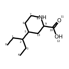 CCC(CC)C1CCNC(C(=O)O)C1